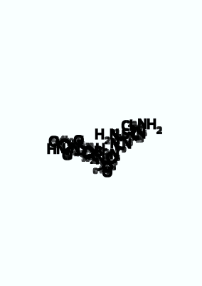 C[C@@H]1OCC2(CCN(c3cnc(Sc4ccnc(N)c4Cl)c(N)n3)CC2)[C@@H]1NCc1cc2c(cc1Br)C(=O)N(C1CCC(=O)NC1=O)C2